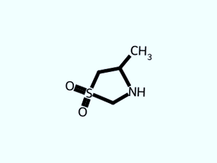 CC1CS(=O)(=O)CN1